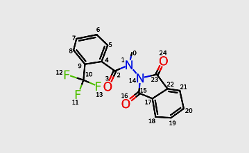 CN(C(=O)c1ccccc1C(F)(F)F)N1C(=O)c2ccccc2C1=O